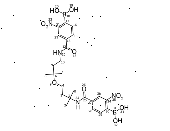 CC(C)(CCOC(C)(C)CCNC(=O)c1ccc(B(O)O)c([N+](=O)[O-])c1)NC(=O)c1ccc(B(O)O)c([N+](=O)[O-])c1